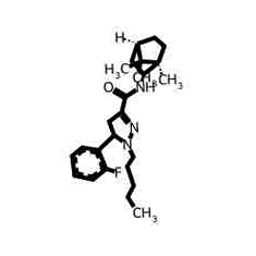 CCCCCN1N=C(C(=O)N[C@H]2C[C@H]3CC[C@]2(C)C3(C)C)CC1c1ccccc1F